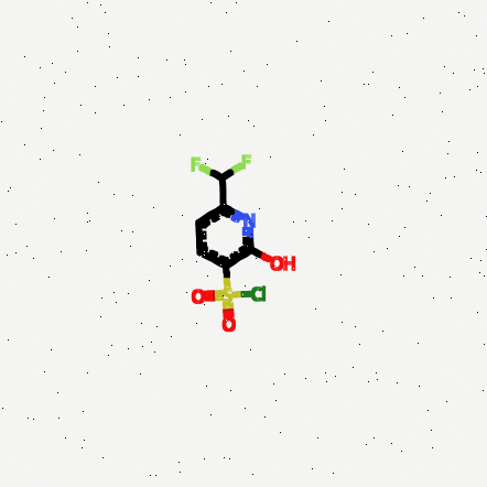 O=S(=O)(Cl)c1ccc(C(F)F)nc1O